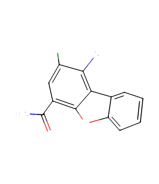 NC(=O)c1cc(Cl)c(N)c2c1oc1ccccc12